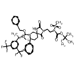 C[C@@H](OC[C@@]1(c2ccccc2)CCC2(CN1C(=O)OCc1ccccc1)NC(=O)N(CCN(C(=O)OC(C)(C)C)S(C)(=O)=O)C2=O)c1cc(C(F)(F)F)cc(C(F)(F)F)c1